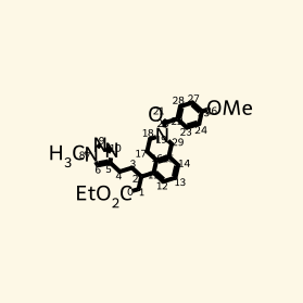 CCOC(=O)CC(CCc1cn(C)nn1)c1cccc2c1CCN(C(=O)c1ccc(OC)cc1)C2